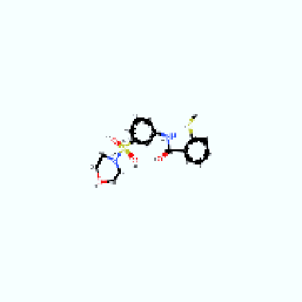 CSc1ccccc1C(=O)Nc1cccc(S(=O)(=O)N2CCOCC2)c1